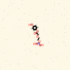 O=C(COCCON(O)O)Oc1ccc(O)cc1